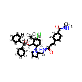 CNC(=O)c1ccc(C=CC(=O)NCc2cccn2-c2ccc(Cl)c(C(C)(C)C)c2CO[SiH](c2ccccc2)c2ccccc2)cc1